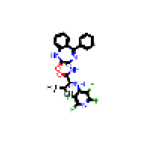 CC(C)[C@H](Nc1c(F)c(F)nc(F)c1F)C(=O)N[C@H]1N=C(c2ccccc2)c2ccccc2NC1=O